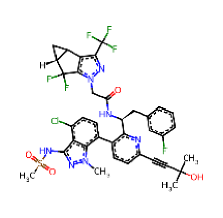 Cn1nc(NS(C)(=O)=O)c2c(Cl)ccc(-c3ccc(C#CC(C)(C)O)nc3[C@H](Cc3cccc(F)c3)NC(=O)Cn3nc(C(F)(F)F)c4c3C(F)(F)[C@@H]3CC43)c21